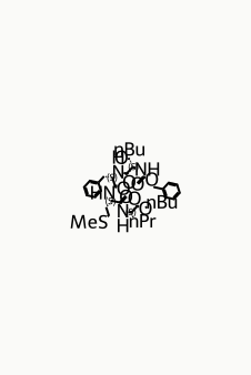 CCCCOC[C@H](NC(=O)OCc1ccccc1)C(=O)N[C@@H](Cc1ccccc1)C(=O)N[C@@H](CCSC)C(=O)N[C@@H](CCC)C(=O)OCCCC